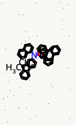 CC1(C)c2ccccc2-c2ccc(N(c3ccc4c(c3)-c3c5cccc3-c3cccc-4c3-c3ccccc3-5)c3cccc4ccccc34)cc21